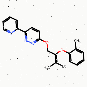 CC/C(C)=C(/COc1ccc(-c2ccccn2)nn1)Oc1ccccc1C